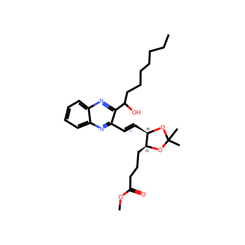 CCCCCCCC(O)c1nc2ccccc2nc1/C=C/[C@H]1OC(C)(C)O[C@H]1CCCC(=O)OC